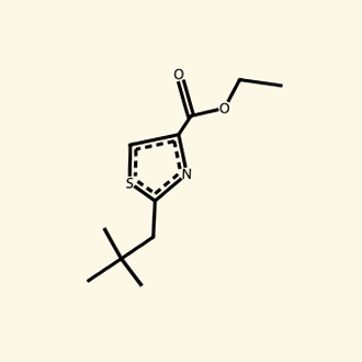 CCOC(=O)c1csc(CC(C)(C)C)n1